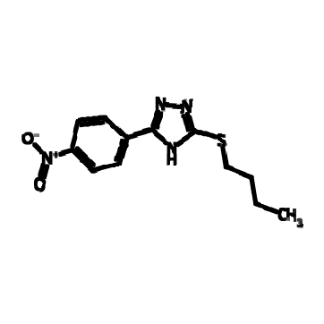 CCCCSc1nnc(-c2ccc([N+](=O)[O-])cc2)[nH]1